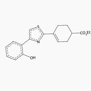 CCOC(=O)C1CC=C(c2nc(-c3ccccc3O)cs2)CC1